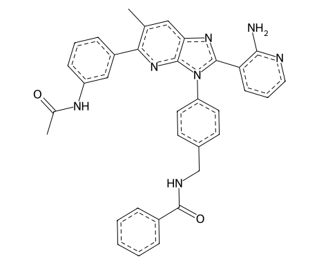 CC(=O)Nc1cccc(-c2nc3c(cc2C)nc(-c2cccnc2N)n3-c2ccc(CNC(=O)c3ccccc3)cc2)c1